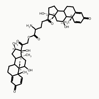 C[C@@H]1CC2C3CCC4=CC(=O)C=CC4(C)[C@@]3(F)C(O)C[C@]2(C)[C@@]1(O)C(=O)COC(=O)C(N)C[CH]C(=O)[C@@]1(O)CCC2C3CCC4=CC(=O)C=C[C@]4(C)C3[C@@H](O)C[C@@]21C